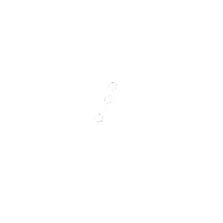 CCCCCCC=COc1ccc(OC(=O)c2ccc(-c3ccc(OC(C)CCCCCC)cc3)cc2)cc1